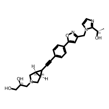 C[C@H](O)c1nccn1Cc1cc(-c2ccc(C#CC3[C@H]4CN(C[C@H](O)CO)C[C@@H]34)cc2)on1